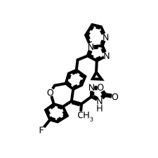 CC(=C1c2ccc(Cc3c(C4CC4)nc4ncccn34)cc2COc2cc(F)ccc21)c1noc(=O)[nH]1